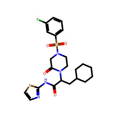 O=C(Nc1nccs1)C(CC1CCCCC1)N1CCN(S(=O)(=O)c2cccc(F)c2)CC1=O